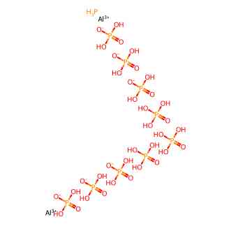 O=P(O)(O)O.O=P(O)(O)O.O=P(O)(O)O.O=P([O-])(O)O.O=P([O-])(O)O.O=P([O-])(O)O.O=P([O-])(O)O.O=P([O-])(O)O.O=P([O-])(O)O.P.[Al+3].[Al+3]